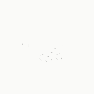 CCCCCCC(O)C/C=C\CCCCCCCC(=O)OC(C)=O.Cc1cccc2c1ccc1c3ccccc3ccc21